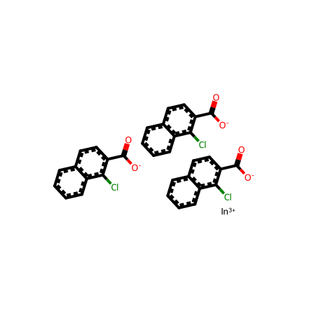 O=C([O-])c1ccc2ccccc2c1Cl.O=C([O-])c1ccc2ccccc2c1Cl.O=C([O-])c1ccc2ccccc2c1Cl.[In+3]